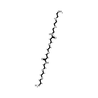 NCCOCCOCCNC(=O)CCOCCOCCC(=O)NCCOCCOCCN